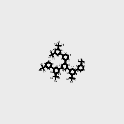 CC(C)(C)c1cccc(-c2cc(-c3cc(-c4cccc(-c5cc(C(C)(C)C)cc(C(C)(C)C)c5)c4)cc(-c4cc(-c5cccc(C(C)(C)C)c5)cc(C(C)(C)C)c4)n3)cc(C(C)(C)C)c2)c1